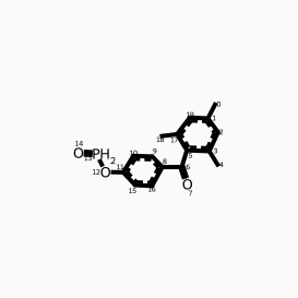 Cc1cc(C)c(C(=O)c2ccc(O[PH2]=O)cc2)c(C)c1